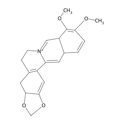 COC1=C(OC)C2C=[N+]3CCC4=C(C=C5OCOC5C4)C3=CC2C=C1